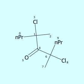 CCCC(C)(Cl)C(=O)C(C)(Cl)CCC